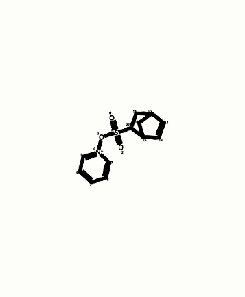 O=S(=O)(O[n+]1ccccc1)C1CC2C=CC1C2